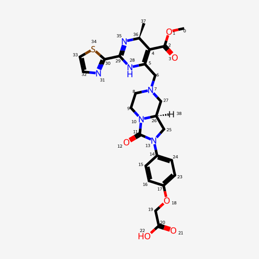 COC(=O)C1=C(CN2CCN3C(=O)N(c4ccc(OCC(=O)O)cc4)C[C@@H]3C2)NC(c2nccs2)=N[C@H]1C